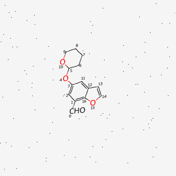 O=Cc1cc(OC2CCCCO2)cc2ccoc12